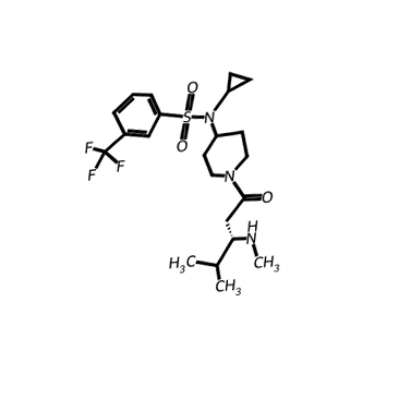 CN[C@@H](CC(=O)N1CCC(N(C2CC2)S(=O)(=O)c2cccc(C(F)(F)F)c2)CC1)C(C)C